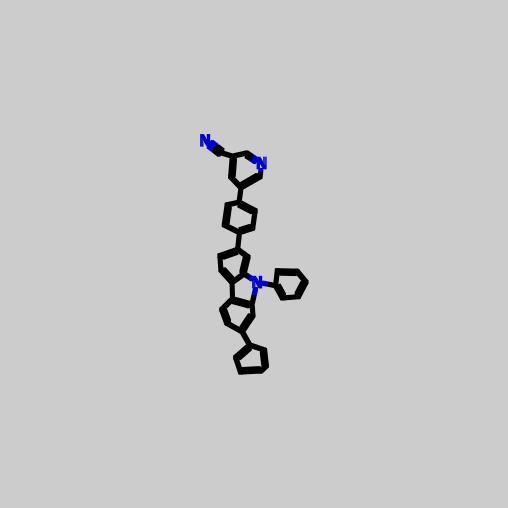 N#Cc1cncc(-c2ccc(-c3ccc4c5ccc(-c6ccccc6)cc5n(-c5ccccc5)c4c3)cc2)c1